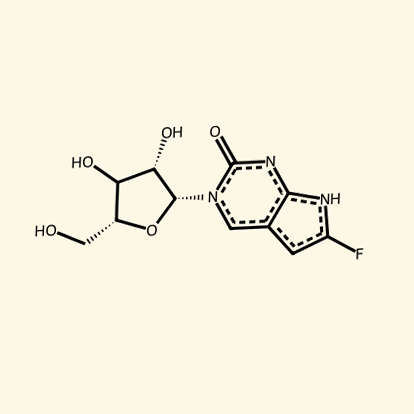 O=c1nc2[nH]c(F)cc2cn1[C@@H]1O[C@H](CO)C(O)[C@@H]1O